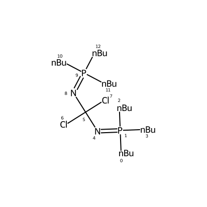 CCCCP(CCCC)(CCCC)=NC(Cl)(Cl)N=P(CCCC)(CCCC)CCCC